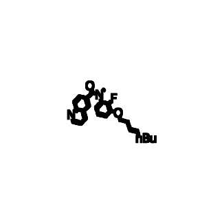 CCCCC=CCCOc1cccc(N(C)C(=O)c2ccc3ncccc3c2)c1F